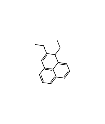 CCC1=Cc2cccc3cccc(c23)C1CC